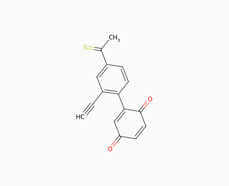 C#Cc1cc(C(C)=S)ccc1C1=CC(=O)C=CC1=O